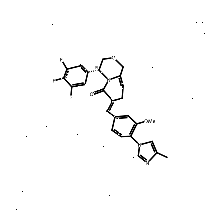 COc1cc(C=C2CC=C3COC[C@@H](c4cc(F)c(F)c(F)c4)N3C2=O)ccc1-n1cnc(C)c1